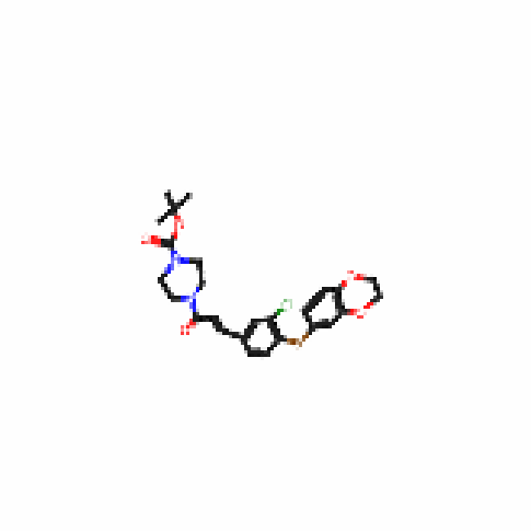 CC(C)(C)OC(=O)N1CCN(C(=O)C=Cc2ccc(Sc3ccc4c(c3)OCCO4)c(Cl)c2)CC1